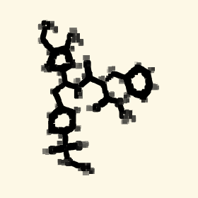 CCc1nc([C@H](Cc2ccc(S(=O)(=O)ON)cc2)NC(=O)[C@H](Cc2ccccc2)C(=O)OC)sc1C